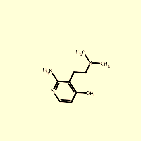 CN(C)CCc1c(O)ccnc1N